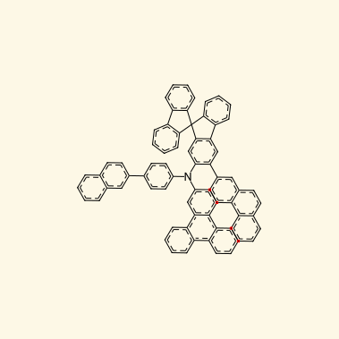 c1ccc2c(c1)-c1ccccc1C21c2ccccc2-c2cc(-c3ccc4c(ccc5ccccc54)c3)c(N(c3ccc(-c4ccc5ccccc5c4)cc3)c3ccc4c5ccccc5c5ccccc5c4c3)cc21